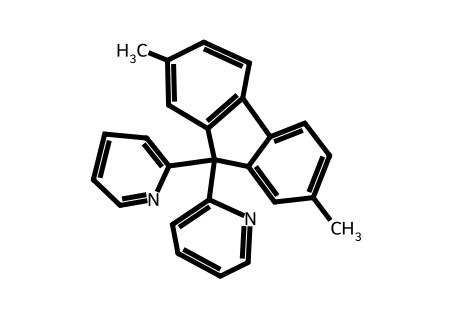 Cc1ccc2c(c1)C(c1ccccn1)(c1ccccn1)c1cc(C)ccc1-2